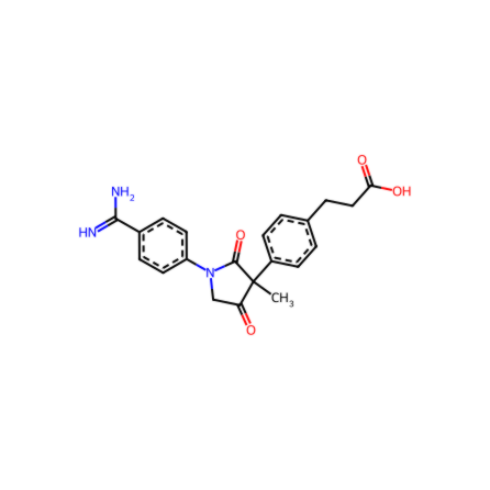 CC1(c2ccc(CCC(=O)O)cc2)C(=O)CN(c2ccc(C(=N)N)cc2)C1=O